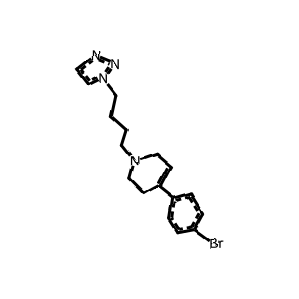 Brc1ccc(C2=CCN(CCCCn3ccnn3)CC2)cc1